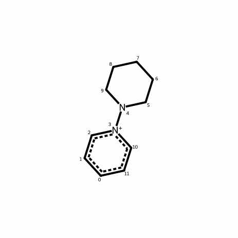 c1cc[n+](N2CCCCC2)cc1